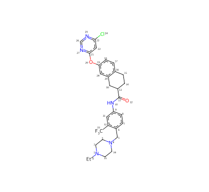 CCN1CCN(Cc2ccc(NC(=O)C3CCc4ccc(Oc5cc(Cl)ncn5)cc4C3)cc2C(F)(F)F)CC1